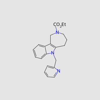 CCOC(=O)N1CCCc2c(c3ccccc3n2Cc2ccccn2)C1